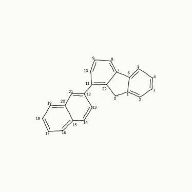 [CH]1c2ccccc2-c2cccc(-c3ccc4ccccc4c3)c21